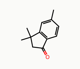 Cc1ccc2c(c1)C(C)(C)CC2=O